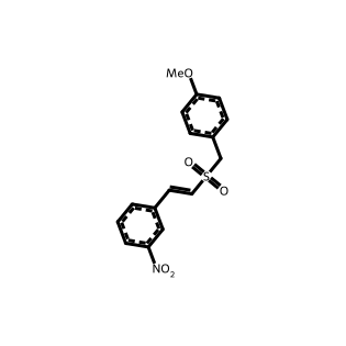 COc1ccc(CS(=O)(=O)C=Cc2cccc([N+](=O)[O-])c2)cc1